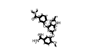 COc1ccc(C(=N)N)cc1Oc1nc(Oc2cccc(C(=O)N(C)C)c2)c2nc(C)[nH]c2n1